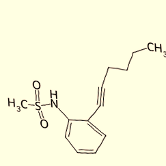 CCCCC#Cc1ccccc1NS(C)(=O)=O